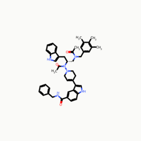 CC(=O)N(Cc1cc(C)c(C)c(C)c1)C[C@@H](Cc1c[nH]c2ccccc12)N(C(C)=O)N1CC=C(c2c[nH]c3ccc(C(=O)NCc4ccccc4)cc23)CC1